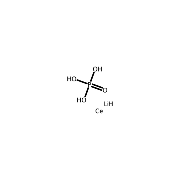 O=P(O)(O)O.[Ce].[LiH]